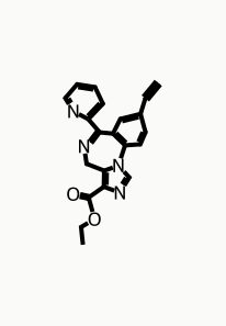 C#Cc1ccc2c(c1)C(c1ccccn1)=NCc1c(C(=O)OCC)ncn1-2